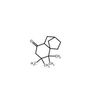 CC1(C)CC(=O)C2CC3CCC2(C3)C1(C)C